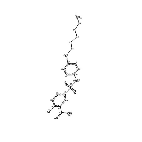 CCCCCCOc1ccc(NS(=O)(=O)c2ccc(Cl)c(C(=O)O)c2)cc1